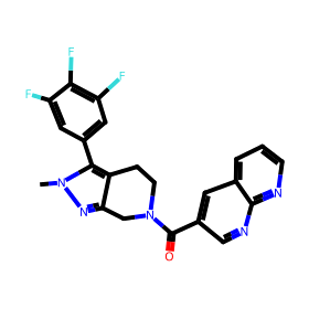 Cn1nc2c(c1-c1cc(F)c(F)c(F)c1)CCN(C(=O)c1cnc3ncccc3c1)C2